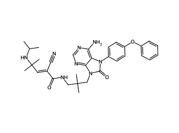 CC(C)NC(C)(C)C=C(C#N)C(=O)NCC(C)(C)Cn1c(=O)n(-c2ccc(Oc3ccccc3)cc2)c2c(N)ncnc21